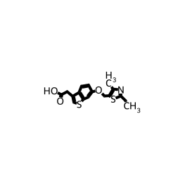 CCc1nc(C)c(COc2ccc3c(CC(=O)O)csc3c2)s1